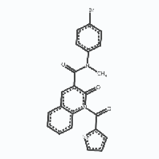 CN(C(=O)c1cc2ccccc2n(C(=O)c2cccs2)c1=O)c1ccc(Br)cc1